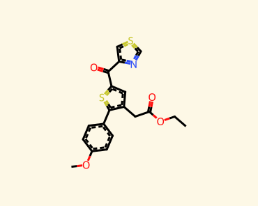 CCOC(=O)Cc1cc(C(=O)c2cscn2)sc1-c1ccc(OC)cc1